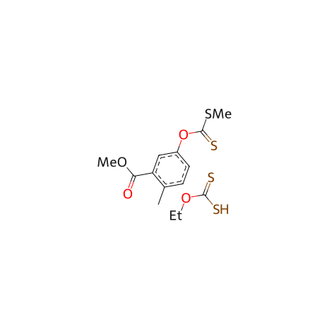 CCOC(=S)S.COC(=O)c1cc(OC(=S)SC)ccc1C